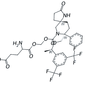 C[C@@H](OC[C@@]1(c2ccccc2)CC[C@]2(CCC(=O)N2)CN1C(=O)OCOC(=O)C(N)CCC(=O)O)c1cc(C(F)(F)F)cc(C(F)(F)F)c1